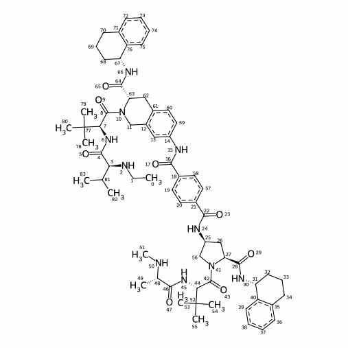 CCN[C@H](C(=O)N[C@H](C(=O)N1Cc2cc(NC(=O)c3ccc(C(=O)N[C@H]4C[C@@H](C(=O)N[C@@H]5CCCc6ccccc65)N(C(=O)[C@@H](NC(=O)[C@H](C)NC)C(C)(C)C)C4)cc3)ccc2C[C@H]1C(=O)N[C@@H]1CCCc2ccccc21)C(C)(C)C)C(C)C